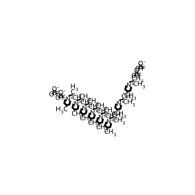 Cc1cc[n+](CC(C)C)cc1.Cc1cc[n+](CC(C)C)cc1.Cc1cc[n+](CC(C)C)cc1.Cc1cc[n+](CC(C)C)cc1.Cc1cc[n+](CC(C)C)cc1.Cc1cc[n+](CC(C)C)cc1.Cc1cc[n+](CC(C)C)cc1.Cc1cc[n+](CC(C)C)cc1.[O-]B([O-])F.[O-]B([O-])F.[O-]B([O-])F.[O-]B([O-])F